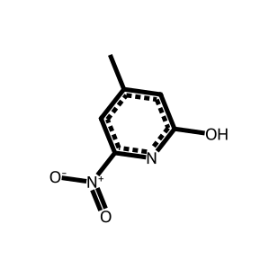 Cc1cc(O)nc([N+](=O)[O-])c1